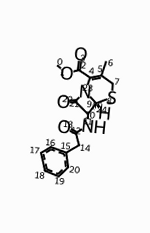 COC(=O)C1=C(C)CS[C@@H]2C(NC(=O)Cc3ccccc3)C(=O)N12